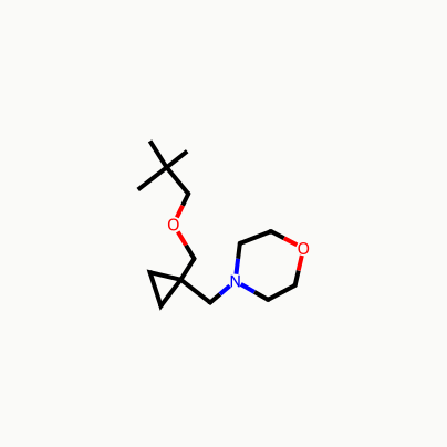 CC(C)(C)COCC1(CN2CCOCC2)CC1